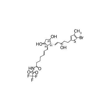 Cc1cc(CC[C@H](O)C=C[C@@H]2[C@@H](CC=CCCCC(=O)NS(=O)(=O)C(F)(F)F)[C@@H](O)C[C@H]2O)sc1Br